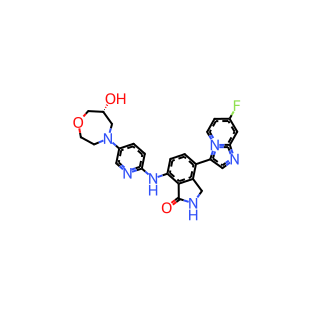 O=C1NCc2c(-c3cnc4cc(F)ccn34)ccc(Nc3ccc(N4CCOC[C@H](O)C4)cn3)c21